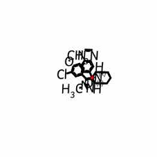 COc1ccc(-c2c3c(nn2C)[C@@H]2CCC[C@H](C3)N2C(=O)c2ccc3nccnc3c2)cc1Cl